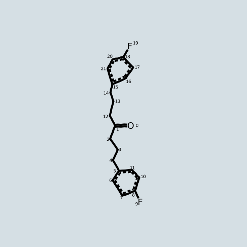 O=C(CCCc1ccc(F)cc1)CCCc1ccc(F)cc1